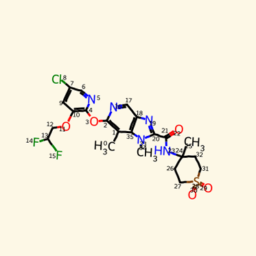 Cc1c(Oc2ncc(Cl)cc2OCC(F)F)ncc2nc(C(=O)NC3(C)CCS(=O)(=O)CC3)n(C)c12